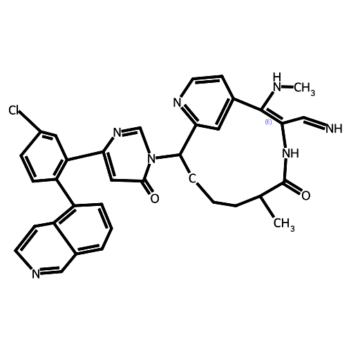 CN/C1=C(\C=N)NC(=O)C(C)CCCC(n2cnc(-c3cc(Cl)ccc3-c3cccc4cnccc34)cc2=O)c2cc1ccn2